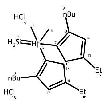 CCCCC1=[C]([Hf]([CH3])([CH3])(=[SiH2])[C]2=C(CCCC)C=C(CC)C2)CC(CC)=C1.Cl.Cl